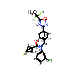 CC(F)(F)c1nc(C23CCC(CN(C(=O)C45CC(F)(C4)C5)c4cccc(Cl)c4)(CC2)CC3)no1